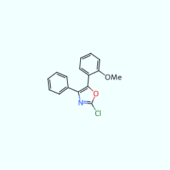 COc1ccccc1-c1oc(Cl)nc1-c1ccccc1